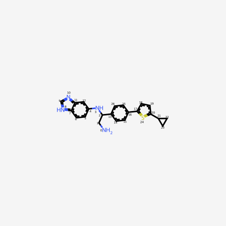 NCC(Nc1ccc2[nH]cnc2c1)c1ccc(-c2ccc(C3CC3)s2)cc1